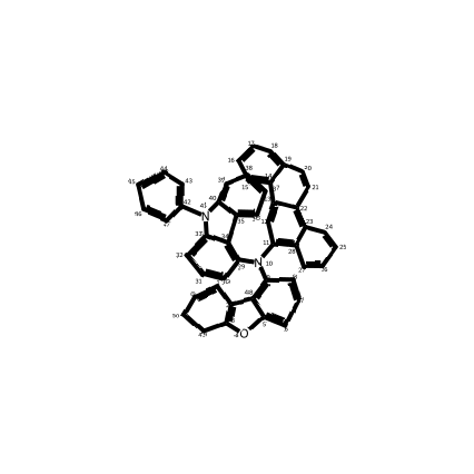 C1=Cc2c(oc3cccc(N(c4cc5c6ccccc6ccc5c5ccccc45)c4cccc5c4c4ccccc4n5-c4ccccc4)c23)CC1